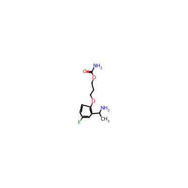 CC(N)c1cc(F)ccc1OCCCOC(N)=O